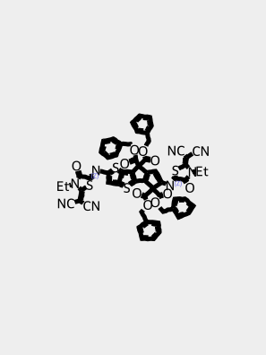 CCN1C(=O)/C(=N/C2=CC3=C(c4sc5cc(/N=C6\SC(=C(C#N)C#N)N(CC)C6=O)sc5c4C3(C(=O)OCc3ccccc3)C(=O)OCc3ccccc3)C2(C(=O)OCc2ccccc2)C(=O)OCc2ccccc2)SC1=C(C#N)C#N